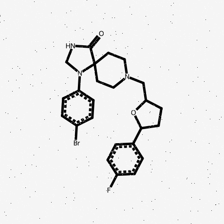 O=C1NCN(c2ccc(Br)cc2)C12CCN(CC1CCC(c3ccc(F)cc3)O1)CC2